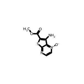 COC(=O)c1sc2ncc[n+]([O-])c2c1N